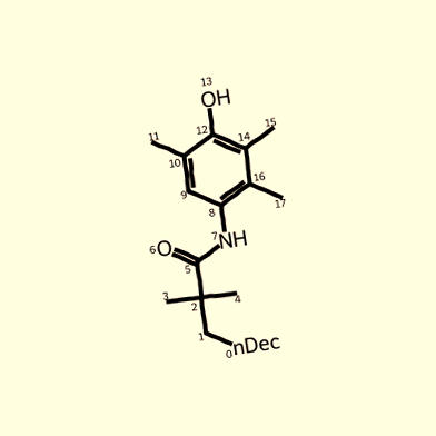 CCCCCCCCCCCC(C)(C)C(=O)Nc1cc(C)c(O)c(C)c1C